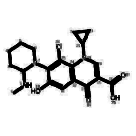 CNC1CCCCN1c1c(O)cc2c(=O)c(C(=O)O)cn(C3CC3)c2c1Cl